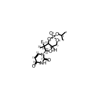 CC(C)OP1(=O)OC[C@H]2O[C@@H](n3ccc(=O)[nH]c3=O)C(C)(F)C2O1